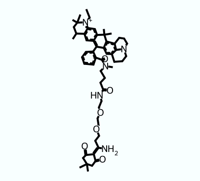 CC[N+]1=c2cc3c(cc2C(C)CC1(C)C)=C(c1ccccc1C(=O)N(C)CCCC(=O)NCCOCCOCCC(N)=C1C(=O)CC(C)(C)CC1=O)c1cc2c4c(c1C3(C)C)CCCN4CCC2